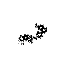 COc1ccc2nccc(N3CCN(CCNS(=O)(=O)c4ccc5c(c4)NC(=O)CS5)CC3)c2n1